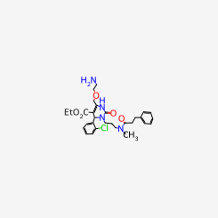 CCOC(=O)C1=C(COCCN)NC(=O)N(CCCN(C)C(=O)CCc2ccccc2)C1c1ccccc1Cl